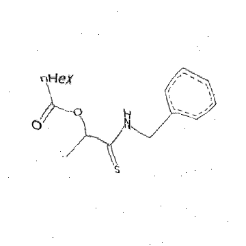 [CH2]C(OC(=O)CCCCCC)C(=S)NCc1ccccc1